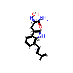 C=C(C)/C=C/c1cccc2c(C/C(=N/O)C(N)=O)c[nH]c12